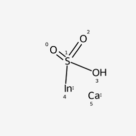 O=[S](=O)(O)[In].[Ca]